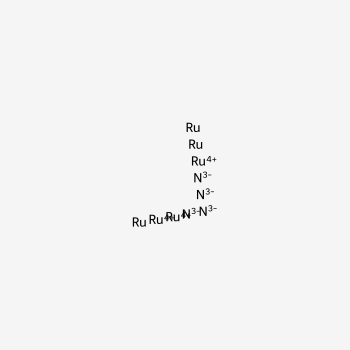 [N-3].[N-3].[N-3].[N-3].[Ru+4].[Ru+4].[Ru+4].[Ru].[Ru].[Ru]